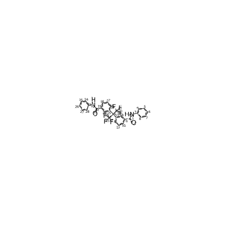 O=C(Nc1ccccc1)c1cccc(C(c2cccc(C(=O)Nc3ccccc3)c2)(C(F)(F)F)C(F)(F)F)c1